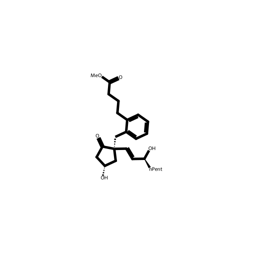 CCCCC[C@H](O)/C=C/[C@@]1(Cc2ccccc2CCCC(=O)OC)C[C@H](O)CC1=O